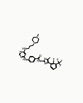 Cc1sc(NC(=O)c2ccc(Nc3cc(NCCCN4CCN(C)CC4)ncn3)cc2)nc1-c1cccc(C(F)(F)F)c1F